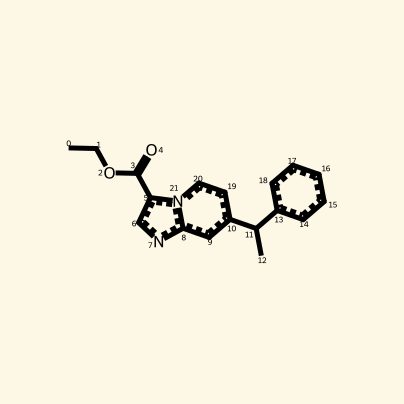 CCOC(=O)c1cnc2cc(C(C)c3ccccc3)ccn12